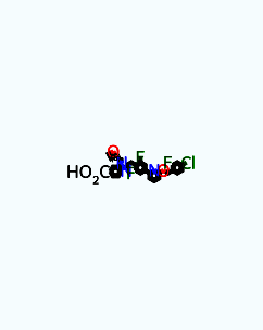 O=C(O)c1ccc2nc(Cc3c(F)cc(-c4cccc(OCc5ccc(Cl)cc5F)n4)cc3F)n(C[C@@H]3CCO3)c2c1